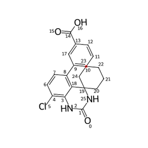 O=C1Nc2c(Cl)ccc(-c3cccc(C(=O)O)c3)c2C2(CCCCC2)N1